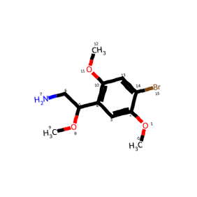 COc1cc(C(CN)OC)c(OC)cc1Br